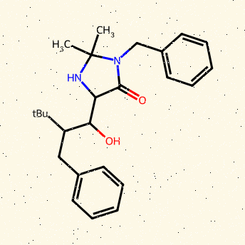 CC(C)(C)[C](Cc1ccccc1)C(O)C1NC(C)(C)N(Cc2ccccc2)C1=O